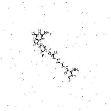 CC[C@H](C)[C@H](N)C(=O)OCCCCCC(=O)OC[C@H]1O[C@@H](n2cnc3c(=O)[nH]c(N)nc32)C[C@@H]1F